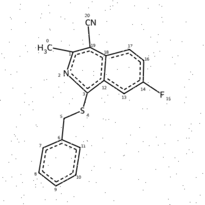 Cc1nc(SCc2ccccc2)c2cc(F)ccc2c1C#N